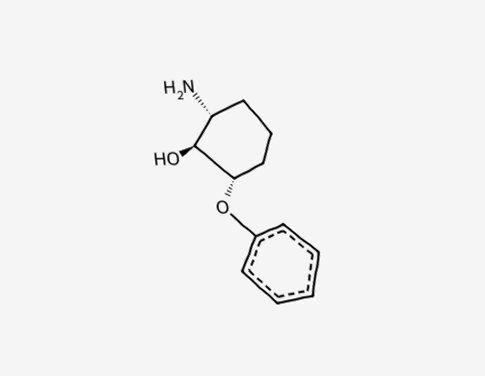 N[C@@H]1CCC[C@H](Oc2ccccc2)[C@H]1O